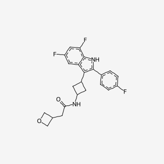 O=C(CC1COC1)NC1CC(c2c(-c3ccc(F)cc3)[nH]c3c(F)cc(F)cc23)C1